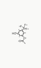 CC(=O)Oc1cc(O)cc(C(F)(F)F)c1